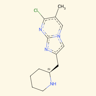 Cc1cn2cc(C[C@@H]3CCCCN3)nc2nc1Cl